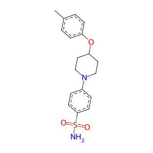 Cc1ccc(OC2CCN(c3ccc(S(N)(=O)=O)cc3)CC2)cc1